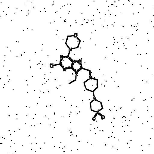 CCn1c(CN2CCC(N3CCS(=O)(=O)CC3)CC2)nc2c(N3CCOCC3)nc(Cl)nc21